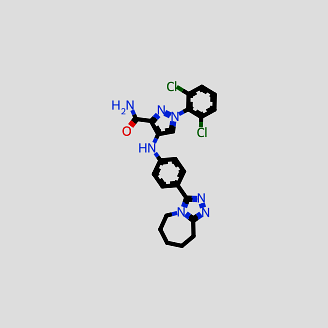 NC(=O)c1nn(-c2c(Cl)cccc2Cl)cc1Nc1ccc(-c2nnc3n2CCCCC3)cc1